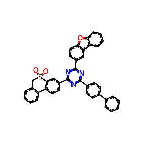 O=S1(=O)Cc2ccccc2-c2ccc(-c3nc(-c4ccc(-c5ccccc5)cc4)nc(-c4ccc5oc6ccccc6c5c4)n3)cc21